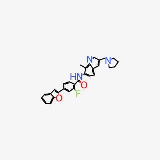 Cc1c(NC(=O)c2ccc(-c3cc4ccccc4o3)cc2F)ccc2cc(CN3CCCC3)cnc12